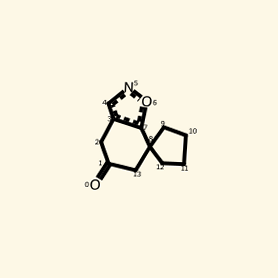 O=C1Cc2cnoc2C2(CCCC2)C1